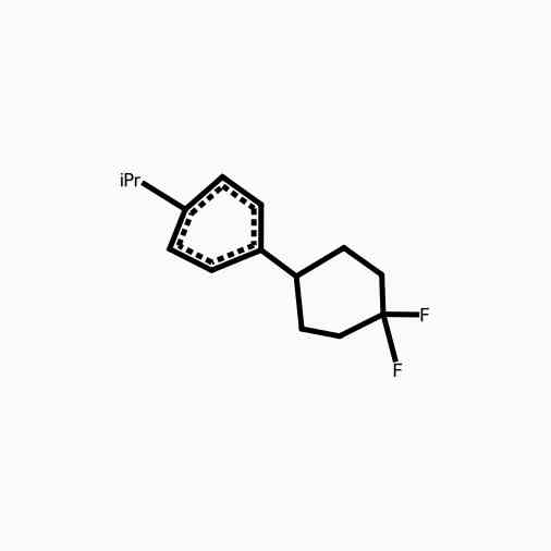 CC(C)c1ccc(C2CCC(F)(F)CC2)cc1